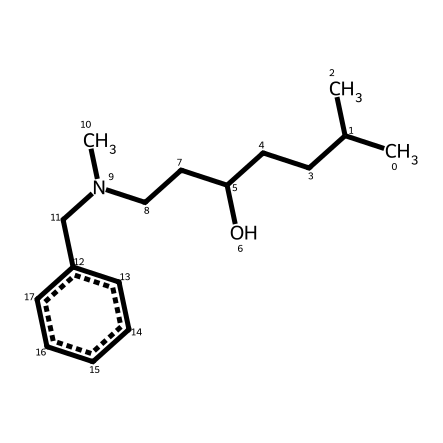 CC(C)CCC(O)CCN(C)Cc1ccccc1